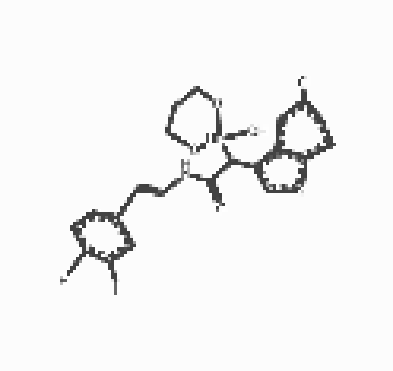 O=C(N/C=C/c1ccc(F)c(F)c1)C(c1csc2ccc(Cl)cc12)[PH]1(O)OCCCO1